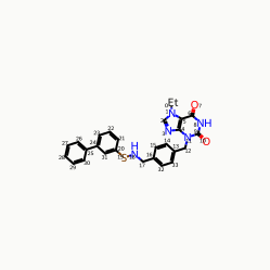 CCn1cnc2c1c(=O)[nH]c(=O)n2Cc1ccc(CNSc2cccc(-c3ccccc3)c2)cc1